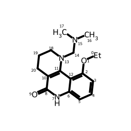 CCOc1cccc2[nH]c(=O)c3c(c12)N(CN(C)C)CCC3